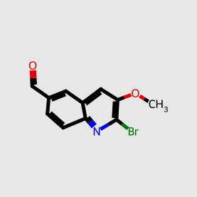 COc1cc2cc(C=O)ccc2nc1Br